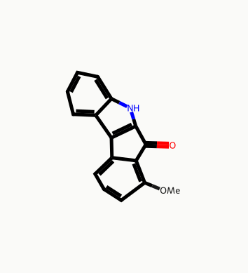 COc1cccc2c1C(=O)c1[nH]c3ccccc3c1-2